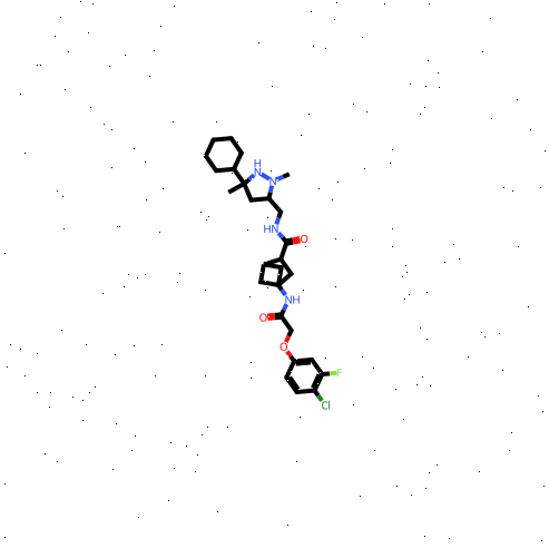 CN1NC(C)(C2CCCCC2)CC1CNC(=O)C1CC2(NC(=O)COc3ccc(Cl)c(F)c3)CC1C2